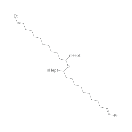 CCC=CCCCCCCCCCC(CCCCCCC)OC(CCCCCCC)CCCCCCCCCC=CCC